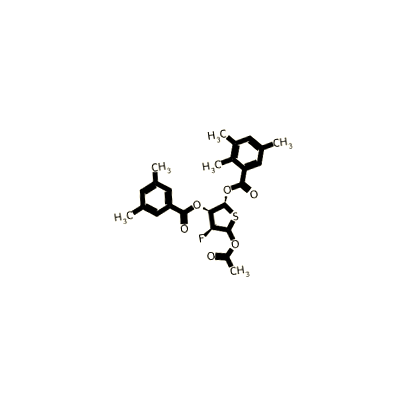 CC(=O)OC1S[C@@H](OC(=O)c2cc(C)cc(C)c2C)[C@@H](OC(=O)c2cc(C)cc(C)c2)[C@@H]1F